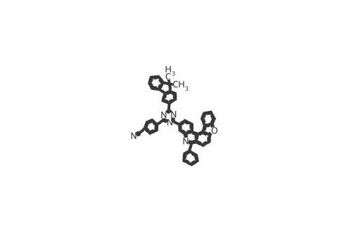 CC1(C)c2ccccc2-c2cc(-c3nc(-c4ccc(C#N)cc4)nc(-c4ccc5c(c4)nc(-c4ccccc4)c4ccc6oc7ccccc7c6c45)n3)ccc21